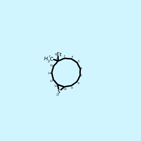 CCC1(C)CCCCCCCC2SC2CCC1